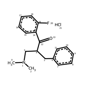 CN(C)CC(Cc1ccccc1)C(=O)c1ccccc1F.Cl